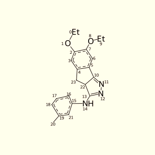 CCOc1cc2c(cc1OCC)C1=NN=C(Nc3cccc(C)c3)C1C2